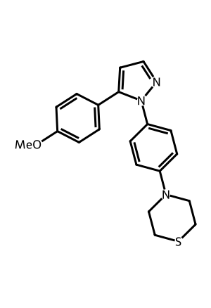 COc1ccc(-c2ccnn2-c2ccc(N3CCSCC3)cc2)cc1